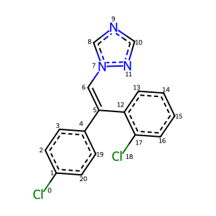 Clc1ccc(/C(=C/n2cncn2)c2ccccc2Cl)cc1